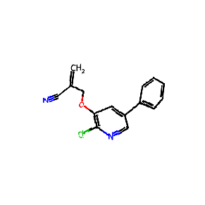 C=C(C#N)COc1cc(-c2ccccc2)cnc1Cl